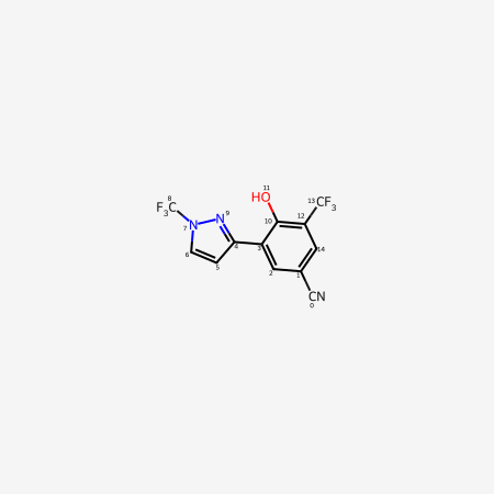 N#Cc1cc(-c2ccn(C(F)(F)F)n2)c(O)c(C(F)(F)F)c1